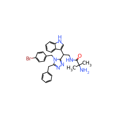 CC(C)(N)C(=O)NCC(c1c[nH]c2ccccc12)c1nnc(Cc2ccccc2)n1Cc1ccc(Br)cc1